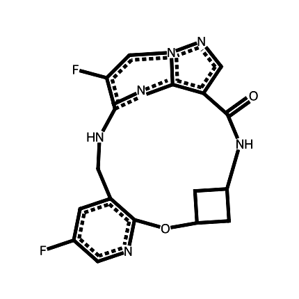 O=C1NC2CC(C2)Oc2ncc(F)cc2CNc2nc3c1cnn3cc2F